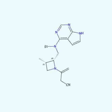 C=C(CC#N)N1C[C@H](C)[C@@H]1CN(CC)c1ncnc2[nH]ccc12